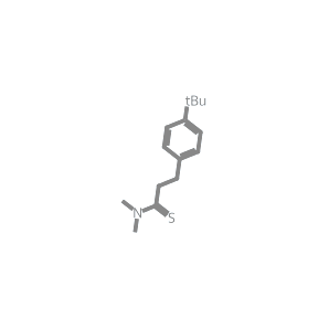 CN(C)C(=S)CCc1ccc(C(C)(C)C)cc1